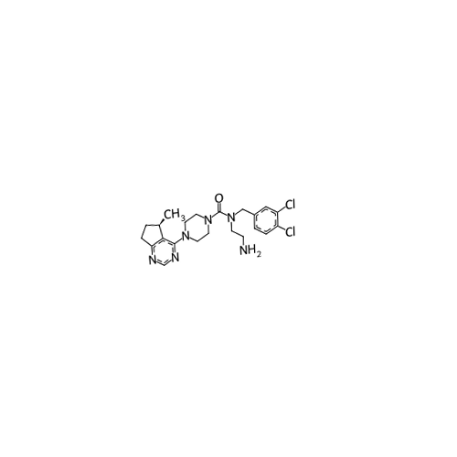 C[C@@H]1CCc2ncnc(N3CCN(C(=O)N(CCN)Cc4ccc(Cl)c(Cl)c4)CC3)c21